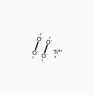 [O-][O-].[O-][O-].[Ti+4]